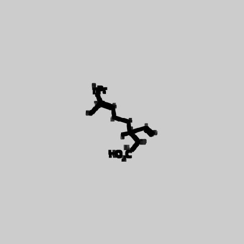 C=CC(C)(CCC=C(C)CCC)CC(=O)O